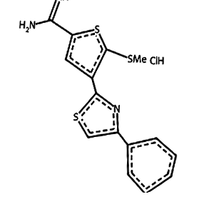 CSc1sc(C(=N)N)cc1-c1nc(-c2ccccc2)cs1.Cl